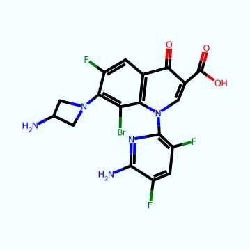 Nc1nc(-n2cc(C(=O)O)c(=O)c3cc(F)c(N4CC(N)C4)c(Br)c32)c(F)cc1F